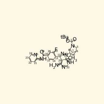 CC(C)(C)OC(=O)N1CC2CC1C(N1N=C(c3ccc(C(=O)Nc4ccccn4)cc3F)C3=C(N)N=CNC31C)C2